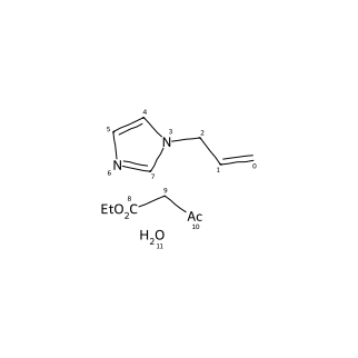 C=CCn1ccnc1.CCOC(=O)CC(C)=O.O